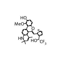 COc1c(O)ccc2c1-c1ccc3c(c1/C(=C/c1sccc1[C@@H](O)C(F)(F)F)O2)C(C)=CC(C)(C)N3